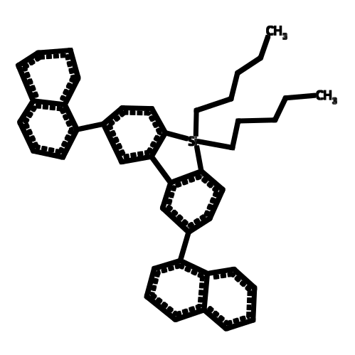 CCCCC[Si]1(CCCCC)c2ccc(-c3cccc4ccccc34)cc2-c2cc(-c3cccc4ccccc34)ccc21